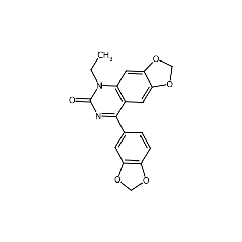 CCn1c(=O)nc(-c2ccc3c(c2)OCO3)c2cc3c(cc21)OCO3